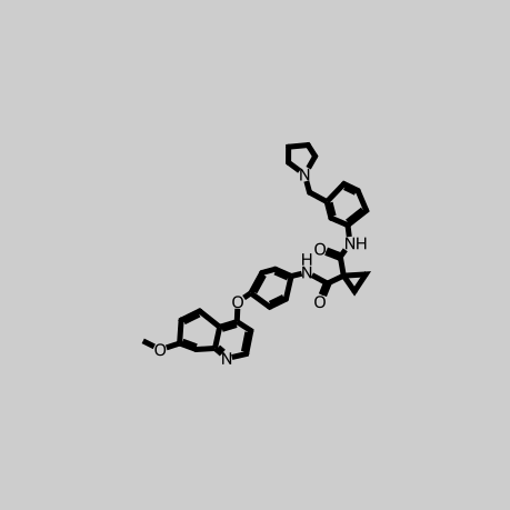 COc1ccc2c(Oc3ccc(NC(=O)C4(C(=O)Nc5cccc(CN6CCCC6)c5)CC4)cc3)ccnc2c1